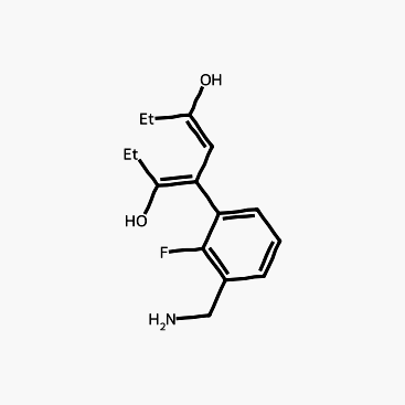 CC/C(O)=C(\C=C(\O)CC)c1cccc(CN)c1F